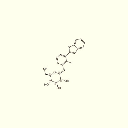 Cc1c(O[C@@H]2O[C@H](CO)[C@@H](O)[C@H](O)[C@H]2O)cccc1-c1cc2ccccc2s1